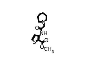 COC(=O)c1sccc1NC(=O)CN1CCCCCC1